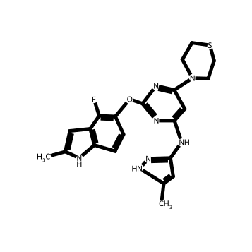 Cc1cc(Nc2cc(N3CCSCC3)nc(Oc3ccc4[nH]c(C)cc4c3F)n2)n[nH]1